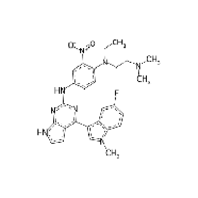 CCN(CCN(C)C)c1ccc(Nc2nc(-c3cn(C)c4ccc(F)cc34)c3cc[nH]c3n2)cc1[N+](=O)[O-]